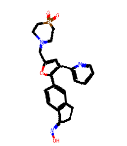 O=S1(=O)CCN(Cc2cc(-c3ccccn3)c(-c3ccc4c(c3)CCC4=NO)o2)CC1